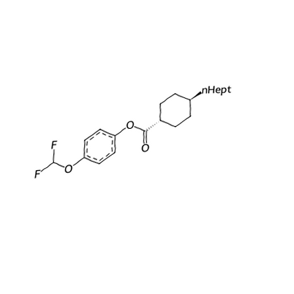 CCCCCCC[C@H]1CC[C@H](C(=O)Oc2ccc(OC(F)F)cc2)CC1